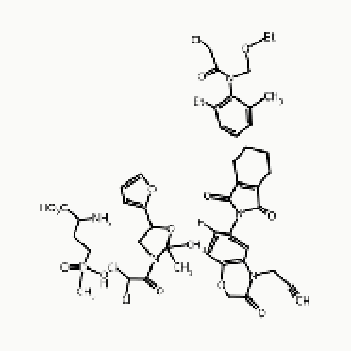 C#CCN1C(=O)COc2cc(F)c(N3C(=O)C4=C(CCCC4)C3=O)cc21.CC1(C)OC(c2ccco2)CN1C(=O)C(Cl)Cl.CCOCN(C(=O)CCl)c1c(C)cccc1CC.CP(=O)(O)CCC(N)C(=O)O